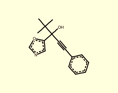 CC(C)(C)C(O)(C#Cc1ccccc1)c1cnco1